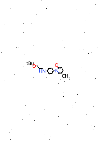 CCCCOCCCNc1ccc(-n2cc(C)ccc2=O)cc1